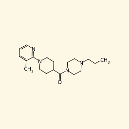 CCCN1CCN(C(=O)C2CCN(c3ncccc3C)CC2)CC1